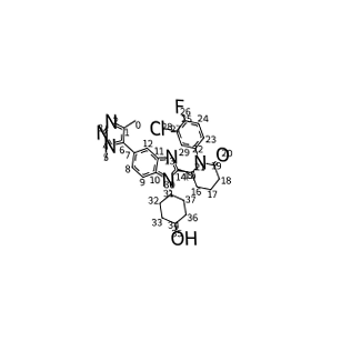 Cc1nnn(C)c1-c1ccc2c(c1)nc([C@@H]1CCCC(=O)N1c1ccc(F)c(Cl)c1)n2[C@H]1CC[C@H](O)CC1